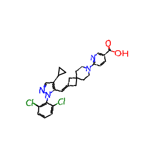 O=C(O)c1ccc(N2CCC3(CC2)CC(=Cc2c(C4CC4)cnn2-c2c(Cl)cccc2Cl)C3)nc1